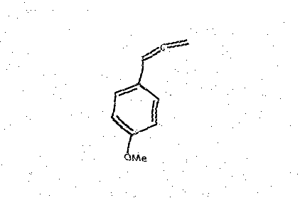 C=C=Cc1ccc(OC)cc1